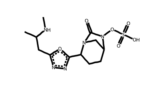 CNC(C)Cc1nnc(C2CCC3CN2C(=O)N3OS(=O)(=O)O)o1